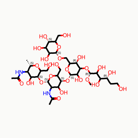 CO[C@H](OC1C(O)[C@H](O[C@@H]2C(CO)O[C@@H](O[C@@H]3C(CO)O[C@@H](C)C(NC(C)=O)C3O)C(NC(C)=O)C2O)OC(CO[C@H]2OC(CO)[C@@H](O)C(O)C2O)[C@H]1O)C(O)C(O)[C@H](O)CCO